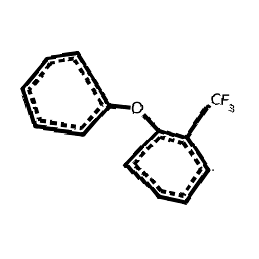 FC(F)(F)c1[c]cccc1Oc1ccccc1